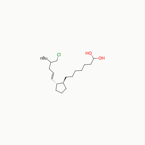 CCCCC(CCl)C/C=C/[C@H]1CCC[C@@H]1CCCCCCC(O)O